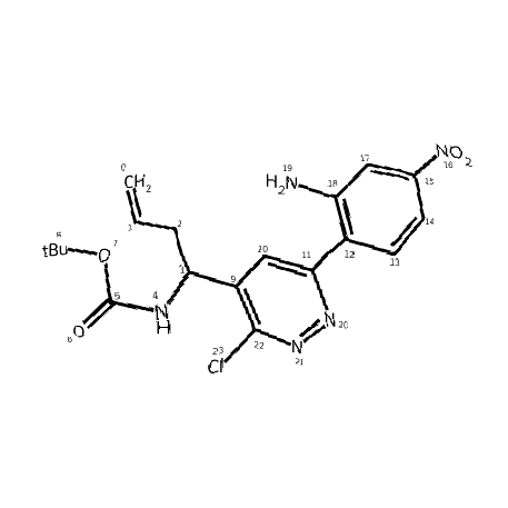 C=CCC(NC(=O)OC(C)(C)C)c1cc(-c2ccc([N+](=O)[O-])cc2N)nnc1Cl